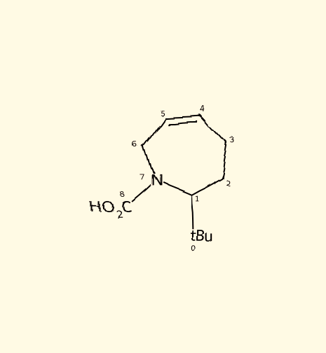 CC(C)(C)C1CCC=CCN1C(=O)O